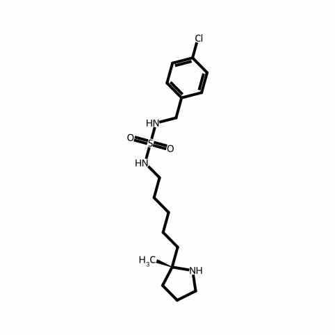 C[C@]1(CCCCCNS(=O)(=O)NCc2ccc(Cl)cc2)CCCN1